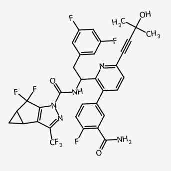 CC(C)(O)C#Cc1ccc(-c2ccc(F)c(C(N)=O)c2)c(C(Cc2cc(F)cc(F)c2)NC(=O)n2nc(C(F)(F)F)c3c2C(F)(F)C2CC32)n1